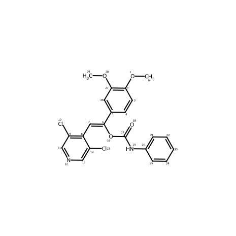 COc1ccc(C(=Cc2c(Cl)cncc2Cl)OC(=O)Nc2ccccc2)cc1OC